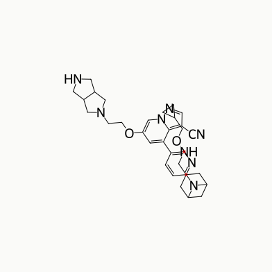 N#Cc1cnn2cc(OCCN3CC4CNCC4C3)cc(-c3ccc(N4C5CC(CNOCC6CC6)CC4C5)nc3)c12